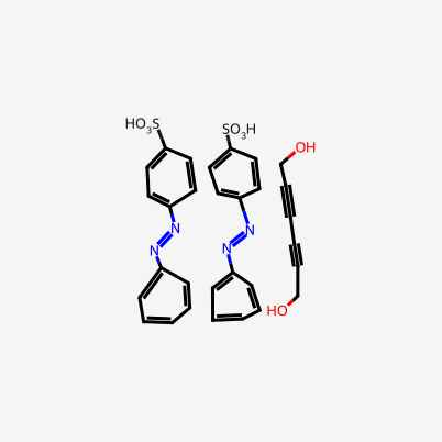 O=S(=O)(O)c1ccc(N=Nc2ccccc2)cc1.O=S(=O)(O)c1ccc(N=Nc2ccccc2)cc1.OCC#CC#CCO